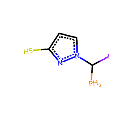 PC(I)n1ccc(S)n1